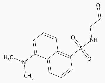 CN(C)c1cccc2c(S(=O)(=O)NCC=O)cccc12